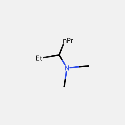 [CH2]CCC(CC)N(C)C